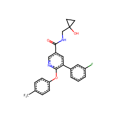 O=C(NCC1(O)CC1)c1cnc(Oc2ccc(C(F)(F)F)cc2)c(-c2cccc(F)c2)c1